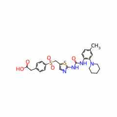 Cc1ccc(NC(=O)Nc2ncc(CS(=O)(=O)c3ccc(CC(=O)O)cc3)s2)c(N2CCCCC2)c1